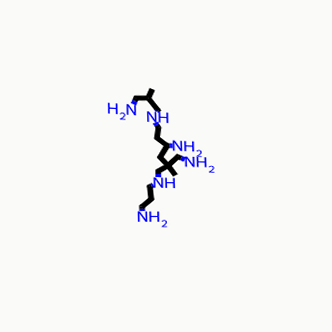 CC(CN)CNCCC(N)CC(C)(CN)CNCCCN